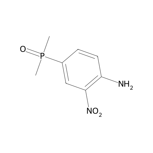 CP(C)(=O)c1ccc(N)c([N+](=O)[O-])c1